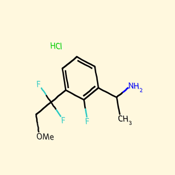 COCC(F)(F)c1cccc(C(C)N)c1F.Cl